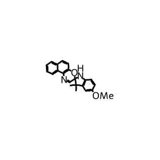 COc1ccc2c(c1)C(C)(C)C1(C=Nc3c(ccc4ccccc34)O1)N2